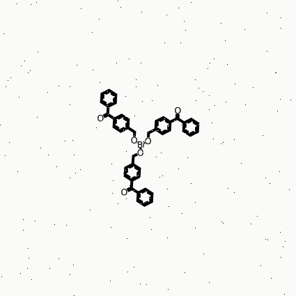 O=C(c1ccccc1)c1ccc(C[O][Bi]([O]Cc2ccc(C(=O)c3ccccc3)cc2)[O]Cc2ccc(C(=O)c3ccccc3)cc2)cc1